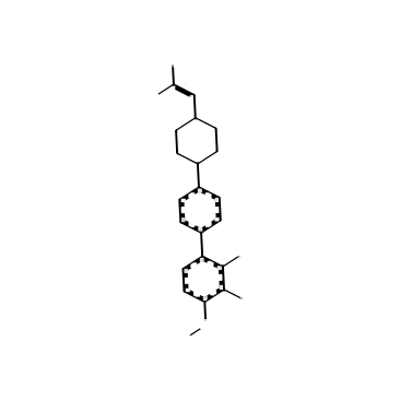 CCOc1ccc(-c2ccc(C3CCC(/C=C(\F)CC)CC3)cc2)c(F)c1F